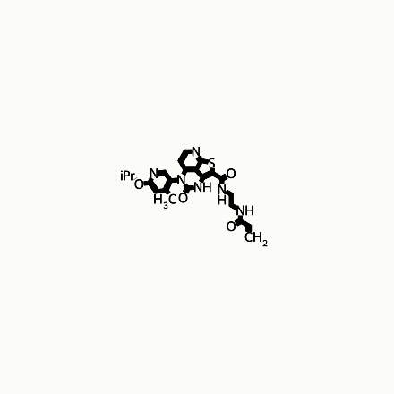 C=CC(=O)NCCNC(=O)c1sc2nccc3c2c1NC(=O)N3c1cnc(OC(C)C)cc1C